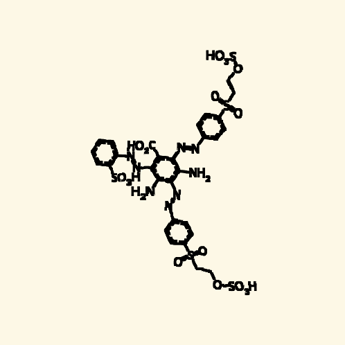 Nc1c(N=Nc2ccc(S(=O)(=O)CCOS(=O)(=O)O)cc2)c(N)c(N=Nc2ccccc2S(=O)(=O)O)c(C(=O)O)c1N=Nc1ccc(S(=O)(=O)CCOS(=O)(=O)O)cc1